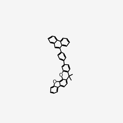 CC1(C)c2ccc(-c3ccc(-c4cc5ccccc5c5ccccc45)cc3)cc2Oc2c1ccc1c2oc2ccccc21